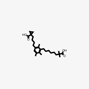 Cc1cc(CCCCC2(C(=O)O)CC2)c(C)c(CCCCCCC(C)(C)C(=O)O)c1C